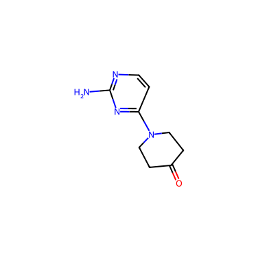 Nc1nccc(N2CCC(=O)CC2)n1